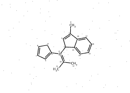 CC1=C[CH]([Zr]([C]2=CC=CC2)=[C](C)C)c2ccccc21